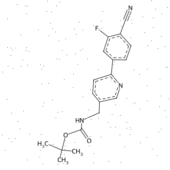 CC(C)(C)OC(=O)NCc1ccc(-c2ccc(C#N)c(F)c2)nc1